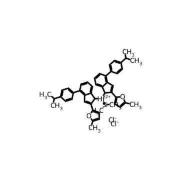 Cc1ccc(C2=Cc3c(-c4ccc(C(C)C)cc4)cccc3[CH]2[Hf+2]([CH]2C(c3ccc(C)o3)=Cc3c(-c4ccc(C(C)C)cc4)cccc32)=[Si](C)C)o1.[Cl-].[Cl-]